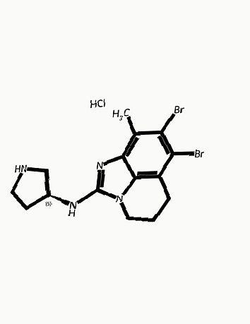 Cc1c(Br)c(Br)c2c3c1nc(N[C@H]1CCNC1)n3CCC2.Cl